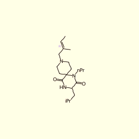 C/C=C(\C)CN1CCC2(CC1)C(=O)NC(CC(C)C)C(=O)N2CCC